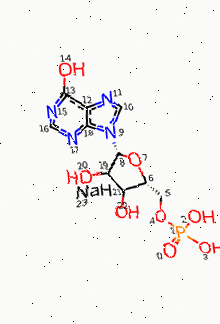 O=P(O)(O)OC[C@H]1O[C@@H](n2cnc3c(O)ncnc32)C(O)C1O.[NaH]